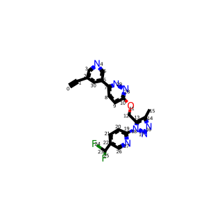 C#Cc1cncc(-c2ccc(OCc3c(C)nnn3-c3ccc(C(F)F)cn3)nn2)c1